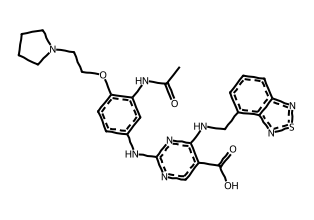 CC(=O)Nc1cc(Nc2ncc(C(=O)O)c(NCc3cccc4nsnc34)n2)ccc1OCCN1CCCC1